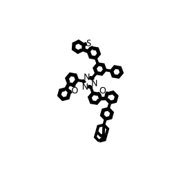 c1ccc(-c2cc(-c3ccc4sc5ccccc5c4c3)cc(-c3nc(-c4cccc5c4oc4ccccc45)nc(-c4cccc5c4oc4cccc(-c6ccc(C78CC9CC(CC(C9)C7)C8)cc6)c45)n3)c2)cc1